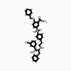 NC(=O)c1cc(S(=O)(=O)c2ccc(CCNC(Cc3ccccc3)[C@H](O)c3cccc(Cl)c3)cc2)ccc1OCc1ccccc1